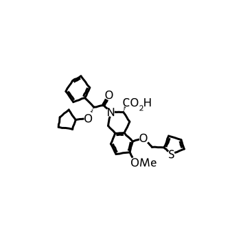 COc1ccc2c(c1OCc1cccs1)C[C@@H](C(=O)O)N(C(=O)[C@H](OC1CCCC1)c1ccccc1)C2